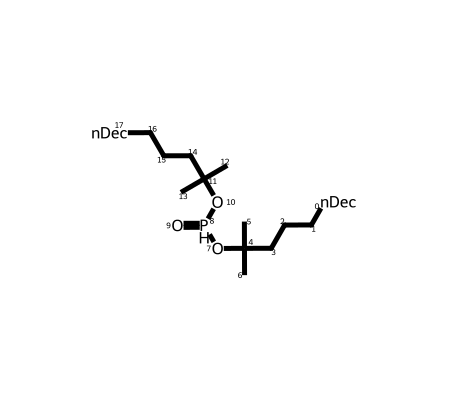 CCCCCCCCCCCCCC(C)(C)O[PH](=O)OC(C)(C)CCCCCCCCCCCCC